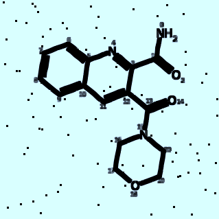 NC(=O)c1nc2c[c]ccc2cc1C(=O)N1CCOCC1